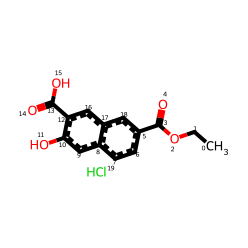 CCOC(=O)c1ccc2cc(O)c(C(=O)O)cc2c1.Cl